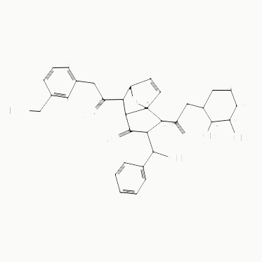 CCc1cccc(CC(=O)C2C3C=CC4(O3)C2C(=O)C(C(C)c2ccccc2)C4C(=O)CC2CCCC(C)C2C)c1